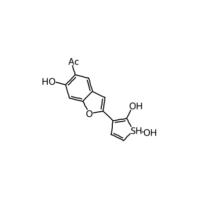 CC(=O)c1cc2cc(C3=C(O)[SH](O)C=C3)oc2cc1O